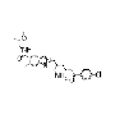 COC(C)CNC(=O)c1cc2cn(CC(CN)CCCC(=O)c3ccc(Cl)cc3)nc2cc1C